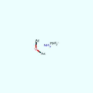 CC(=O)OC(C)=O.N.[PbH2]